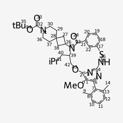 COc1c2nc(nc1-c1c(C)cccc1C)NSc1cccc(c1)C(=O)N(C1CC3(CCN(C(=O)OC(C)(C)C)CC3)C1)C(CC(C)C)CO2